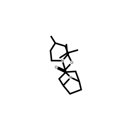 CC1CCN(C2CC3CCC(C2)N3C(=O)OC(C)(C)C)CC1